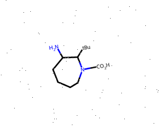 CC(C)(C)C1C(N)CCCCN1C(=O)O